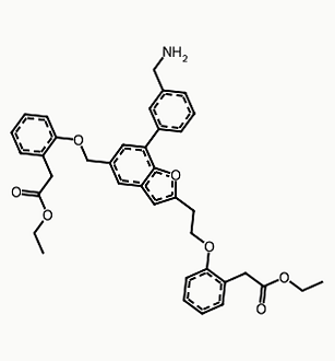 CCOC(=O)Cc1ccccc1OCCc1cc2cc(COc3ccccc3CC(=O)OCC)cc(-c3cccc(CN)c3)c2o1